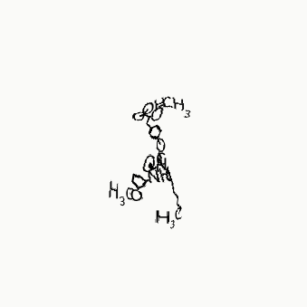 CCCCCCCCN(CCOc1ccc(CC(OCC)C(=O)O)cc1)C(=O)Nc1cccc(OC)c1